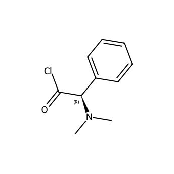 CN(C)[C@@H](C(=O)Cl)c1ccccc1